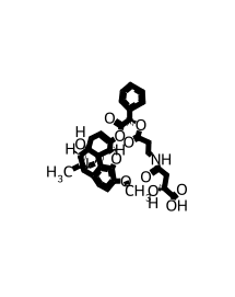 COc1ccc2c3c1O[C@@H]1C(OC(=O)[C@H](OC(=O)CCNC(=O)C[C@H](O)C(=O)O)c4ccccc4)=CC[C@]4(O)[C@H](C2)N(C)CC[C@@]314